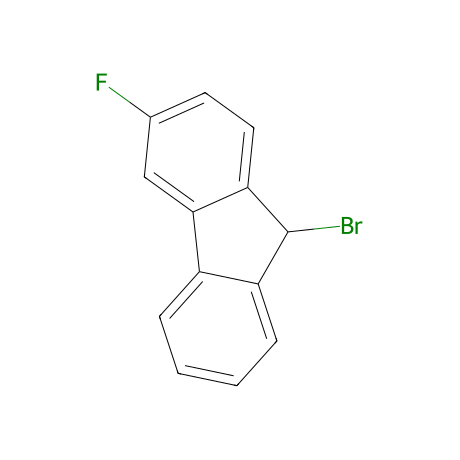 Fc1ccc2c(c1)-c1ccccc1C2Br